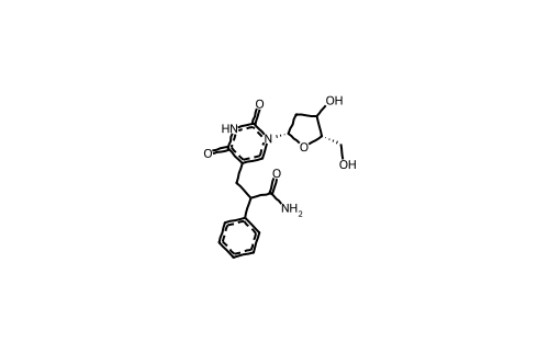 NC(=O)C(Cc1cn([C@@H]2CC(O)[C@H](CO)O2)c(=O)[nH]c1=O)c1ccccc1